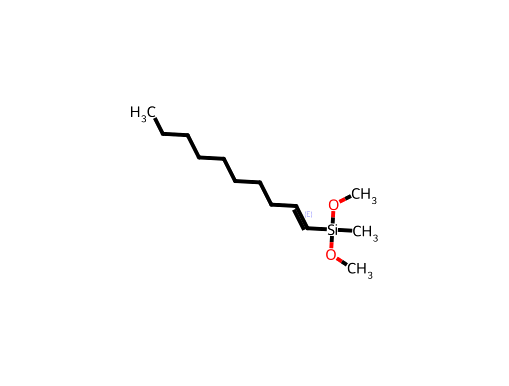 CCCCCCCC/C=C/[Si](C)(OC)OC